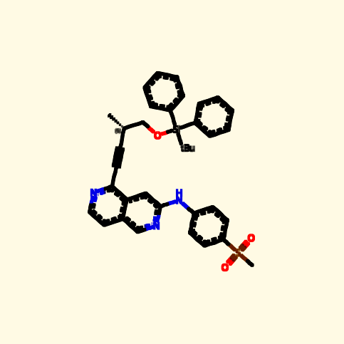 C[C@@H](C#Cc1nccc2cnc(Nc3ccc(S(C)(=O)=O)cc3)cc12)CO[Si](c1ccccc1)(c1ccccc1)C(C)(C)C